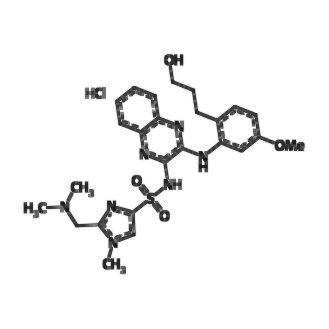 COc1ccc(CCCO)c(Nc2nc3ccccc3nc2NS(=O)(=O)c2cn(C)c(CN(C)C)n2)c1.Cl